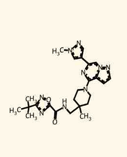 Cn1cc(-c2cn3nccc3c(N3CCC(C)(CNC(=O)c4nc(C(C)(C)C)no4)CC3)n2)cn1